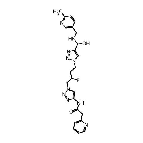 Cc1ccc(CNC(O)c2cn(CCC(F)Cn3cc(NC(=O)Cc4ccccn4)nn3)nn2)cn1